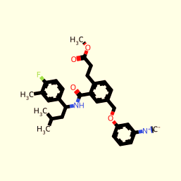 [C-]#[N+]c1cccc(OCc2ccc(CCC(=O)OC)c(C(=O)NC(CC(C)C)c3ccc(F)c(C)c3)c2)c1